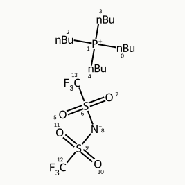 CCCC[P+](CCCC)(CCCC)CCCC.O=S(=O)([N-]S(=O)(=O)C(F)(F)F)C(F)(F)F